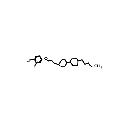 CCCCCC1CCC(C2CCC(CCCOc3ccc(Cl)c(F)c3)CC2)CC1